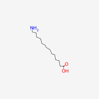 NCCCCCCCCCCCCCC(=O)O